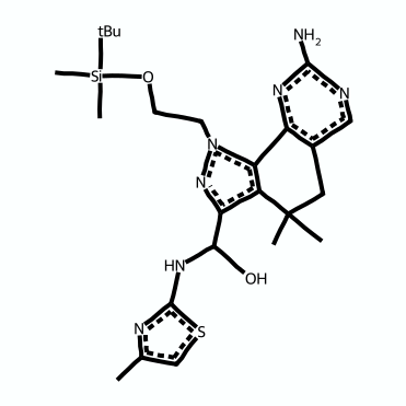 Cc1csc(NC(O)c2nn(CCO[Si](C)(C)C(C)(C)C)c3c2C(C)(C)Cc2cnc(N)nc2-3)n1